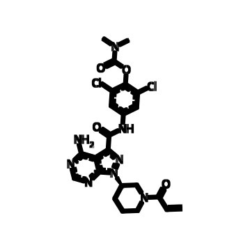 C=CC(=O)N1CCC[C@@H](n2nc(C(=O)Nc3cc(Cl)c(OC(=O)N(C)C)c(Cl)c3)c3c(N)ncnc32)C1